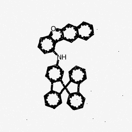 c1ccc2c(c1)-c1ccccc1C21c2ccccc2-c2ccc(Nc3cccc4oc5cc6ccccc6cc5c34)cc21